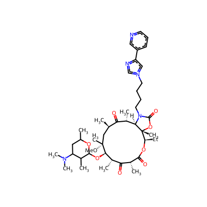 CC[C@H]1OC(=O)[C@H](C)C(=O)[C@H](C)[C@@H](OC2OC(C)CC(N(C)C)C2C)[C@](C)(OC)C[C@@H](C)C(=O)[C@H](C)[C@H]2N(CCCCn3cnc(-c4cccnc4)c3)C(=O)O[C@]12C